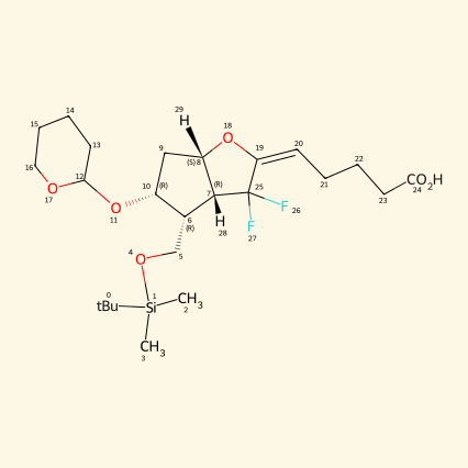 CC(C)(C)[Si](C)(C)OC[C@H]1[C@@H]2[C@H](C[C@H]1OC1CCCCO1)OC(=CCCCC(=O)O)C2(F)F